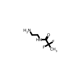 CC(F)(F)C(=O)NCCN